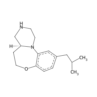 CC(C)Cc1ccc2c(c1)N1CCNC[C@@H]1CCO2